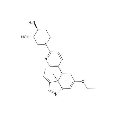 C/C=C1/C=NN2C=C(OCC)C=C(c3ccc(N4CC[C@H](N)[C@@H](O)C4)nc3)C12C